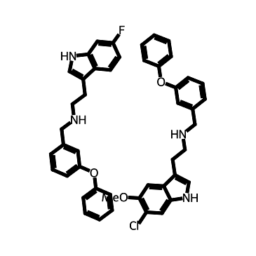 COc1cc2c(CCNCc3cccc(Oc4ccccc4)c3)c[nH]c2cc1Cl.Fc1ccc2c(CCNCc3cccc(Oc4ccccc4)c3)c[nH]c2c1